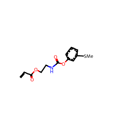 C=CC(=O)OCCNC(=O)Oc1cccc(SC)c1